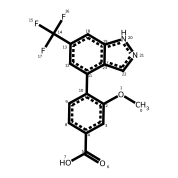 COc1cc(C(=O)O)ccc1-c1cc(C(F)(F)F)cc2[nH]ncc12